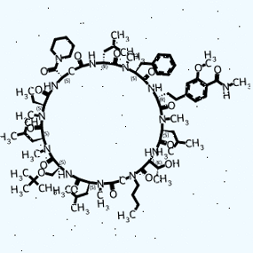 CCCCN1CC(=O)N(C)[C@@H](CC(C)C)C(=O)N[C@@H](COC(C)(C)C)C(=O)N(C)[C@@H](CC(C)C)C(=O)N(C)[C@@H](CC)C(=O)N[C@H](C(=O)N2CCCCC2)CC(=O)N[C@H](CC(C)C)C(=O)N(C)[C@@H](Cc2ccccc2)C(=O)N[C@H](CCc2ccc(C(=O)NC)c(OC)c2)C(=O)N(C)[C@@H](CC(C)C)C(=O)N[C@@H]([C@@H](C)O)C1=O